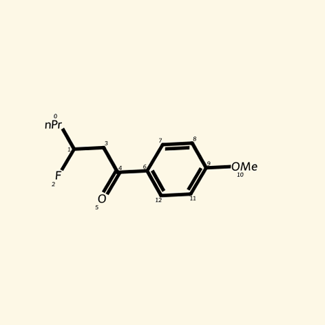 CCCC(F)CC(=O)c1ccc(OC)cc1